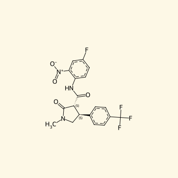 CN1C[C@H](c2ccc(C(F)(F)F)cc2)[C@@H](C(=O)Nc2ccc(F)cc2[N+](=O)[O-])C1=O